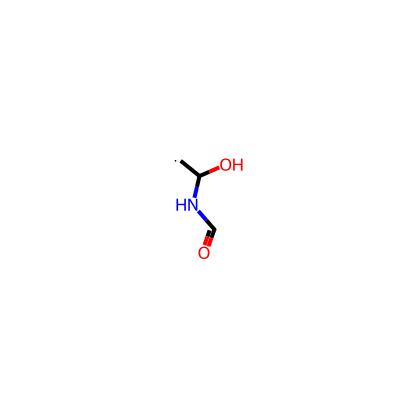 [CH2]C(O)NC=O